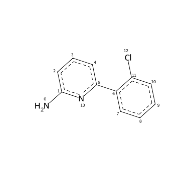 Nc1cccc(-c2ccccc2Cl)n1